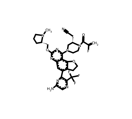 C=C(F)C(=O)N1CCN(c2nc(OC[C@@H]3CCCN3C)nc3cc(-c4nc(N)cnc4C(F)(F)F)c4c(c23)OCC4)C[C@@H]1CC#N